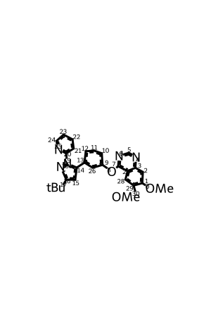 COc1cc2ncnc(Oc3cccc(-c4cc(C(C)(C)C)nn4-c4ccccn4)c3)c2cc1OC